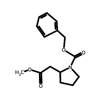 COC(=O)CC1CCCN1C(=O)OCc1ccccc1